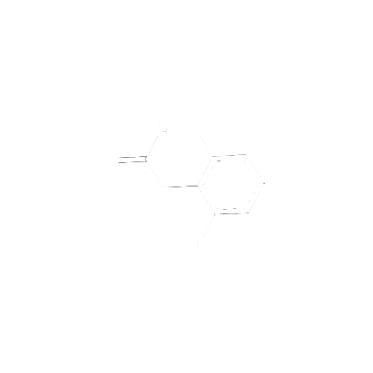 O=C(Br)Cc1c(F)cccc1F